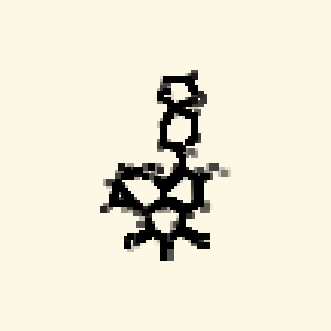 COc1c(N2CCC3(CC2)OCCO3)c(F)cc2c(=O)[nH]c(=O)n(C3CC3)c12